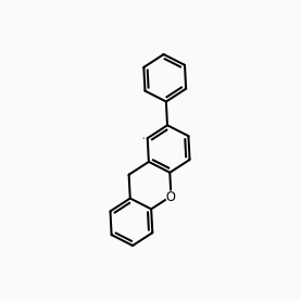 [c]1c(-c2ccccc2)ccc2c1Cc1ccccc1O2